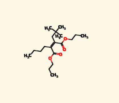 CCCC/C(C(=O)OCCC)=C(\CC(C)(C)C)C(=O)OCCC